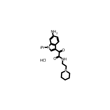 CC(C)n1cc(C(=O)C(=O)NCCN2CCCCC2)c2ccc(N)cc21.Cl